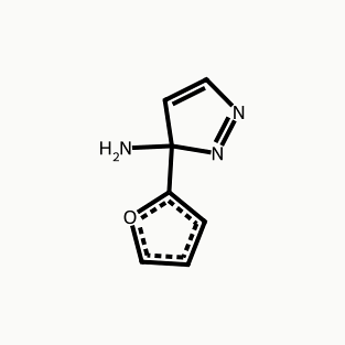 NC1(c2ccco2)C=CN=N1